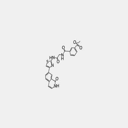 CS(=O)(=O)c1cccc(C(=O)NCC(=O)Nc2nc(-c3ccc4cc[nH]c(=O)c4c3)cs2)c1